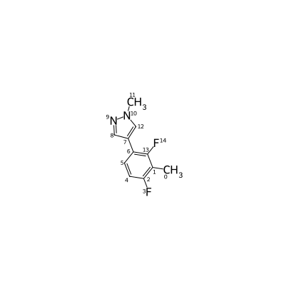 Cc1c(F)ccc(-c2cnn(C)c2)c1F